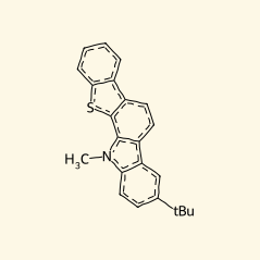 Cn1c2ccc(C(C)(C)C)cc2c2ccc3c4ccccc4sc3c21